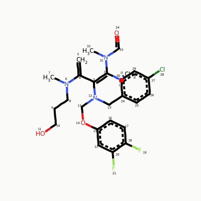 C=N/C(=C(/C(=C)N(C)CCCO)N(COc1ccc(F)c(F)c1)Cc1ccc(Cl)cc1)N(C)C=O